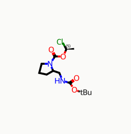 C[C@H](Cl)OC(=O)N1CCCC1CNC(=O)OC(C)(C)C